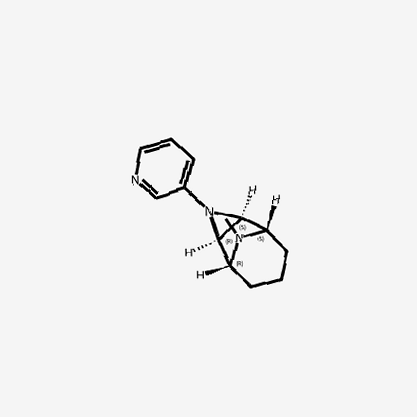 CN1[C@@H]2CCC[C@H]1[C@H]1[C@@H]2N1c1cccnc1